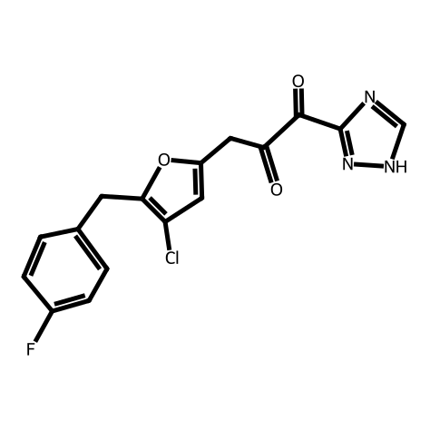 O=C(Cc1cc(Cl)c(Cc2ccc(F)cc2)o1)C(=O)c1nc[nH]n1